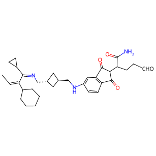 C/C=C(\C(=N/C[C@H]1C[C@H](CNc2ccc3c(c2)C(=O)C(C(CCC=O)C(N)=O)C3=O)C1)C1CC1)C1CCCCC1